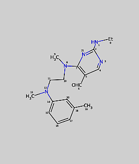 CCNc1ncc(C=O)c(N(C)CCN(C)c2cccc(C)c2)n1